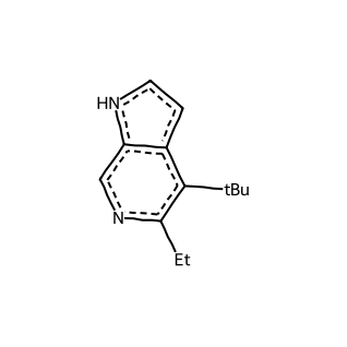 CCc1ncc2[nH]ccc2c1C(C)(C)C